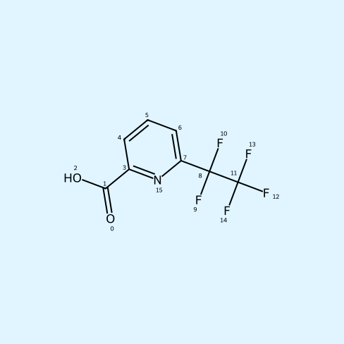 O=C(O)c1cccc(C(F)(F)C(F)(F)F)n1